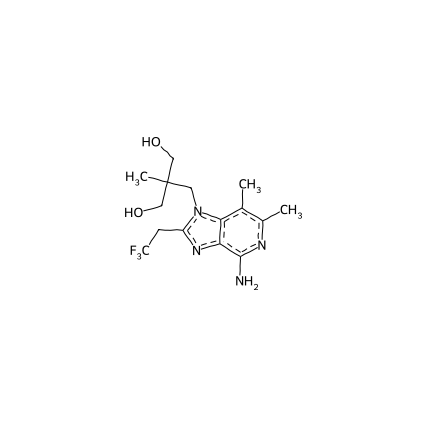 Cc1nc(N)c2nc(CC(F)(F)F)n(CC(C)(CO)CO)c2c1C